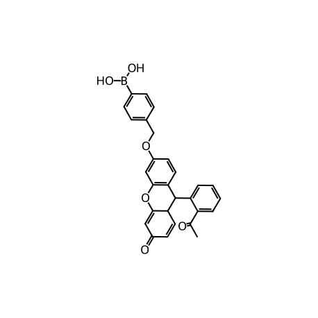 CC(=O)c1ccccc1C1c2ccc(OCc3ccc(B(O)O)cc3)cc2OC2=CC(=O)C=CC21